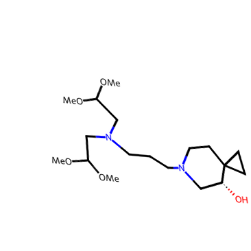 COC(CN(CCCN1CCC2(CC2)[C@H](O)C1)CC(OC)OC)OC